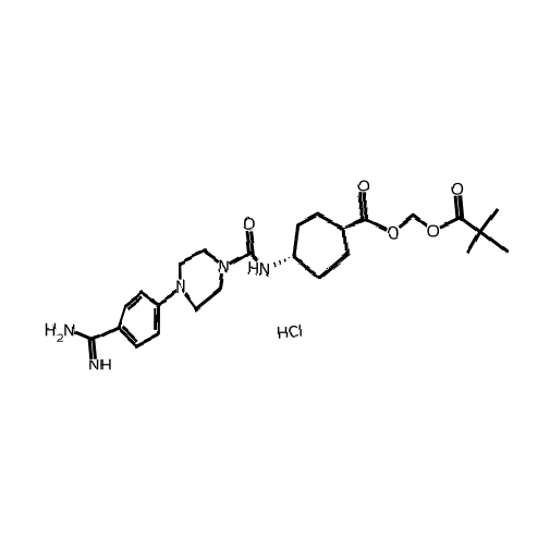 CC(C)(C)C(=O)OCOC(=O)[C@H]1CC[C@H](NC(=O)N2CCN(c3ccc(C(=N)N)cc3)CC2)CC1.Cl